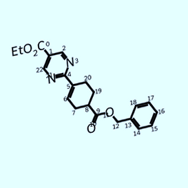 CCOC(=O)c1cnc(C2=CCC(C(=O)OCc3ccccc3)CC2)nc1